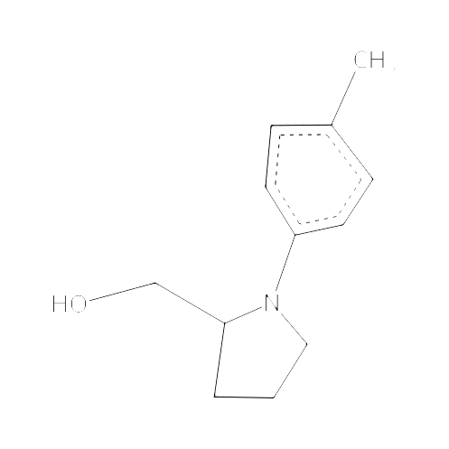 Cc1ccc(N2CCCC2CO)cc1